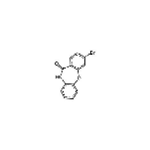 O=C1Nc2ccccc2Oc2cc(Br)ccc21